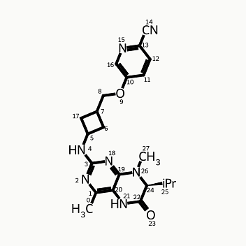 Cc1nc(NC2CC(COc3ccc(C#N)nc3)C2)nc2c1NC(=O)[C@H](C(C)C)N2C